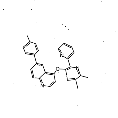 Cc1ccc(-c2ccc3nccc(Oc4cc(C)c(C)nc4-c4ccccn4)c3c2)cc1